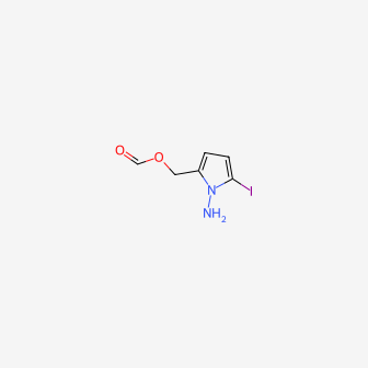 Nn1c(I)ccc1COC=O